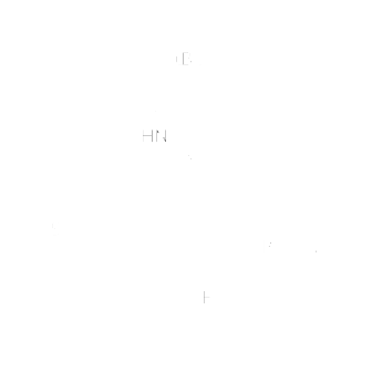 C=C(NC(C)(C)CC(C)(C)C)c1cc(B2CC(C)(C)C(C)(C)C2)c(F)cc1CCCS(C)(C)C